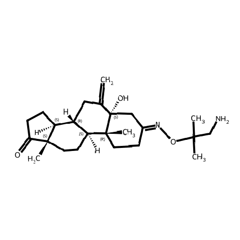 C=C1C[C@H]2[C@@H]3CCC(=O)[C@@]3(C)CC[C@@H]2[C@@]2(C)CCC(=NOC(C)(C)CN)C[C@]12O